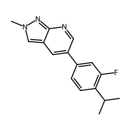 CC(C)c1ccc(-c2cnc3nn(C)cc3c2)cc1F